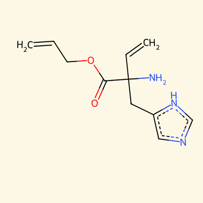 C=CCOC(=O)C(N)(C=C)Cc1cnc[nH]1